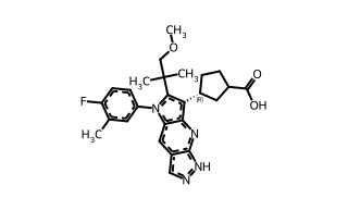 COCC(C)(C)c1c([C@@H]2CCC(C(=O)O)C2)c2nc3[nH]ncc3cc2n1-c1ccc(F)c(C)c1